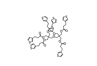 O=C(CCc1ccsc1)OCC(COCC(COC(=O)CCc1ccsc1)(COC(=O)CCc1ccsc1)COC(=O)CCc1ccsc1)(COC(=O)CCc1ccsc1)COC(=O)CCc1ccsc1